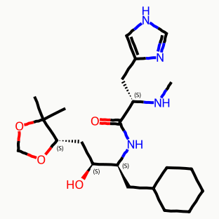 CN[C@@H](Cc1c[nH]cn1)C(=O)N[C@@H](CC1CCCCC1)[C@@H](O)C[C@@H]1OCOC1(C)C